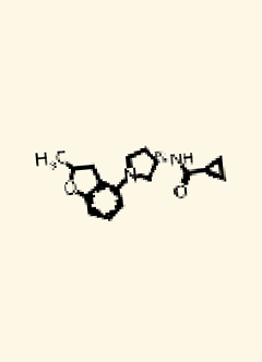 CC1Cc2c(cccc2N2CC[C@H](NC(=O)C3CC3)C2)O1